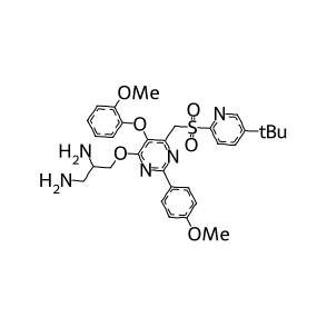 COc1ccc(-c2nc(CS(=O)(=O)c3ccc(C(C)(C)C)cn3)c(Oc3ccccc3OC)c(OCC(N)CN)n2)cc1